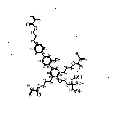 C=C(C)C(=O)OCCCc1ccc(-c2ccc(-c3cc(CCCOC(=O)C(=C)C)c(OCCC(CO)(CO)CCC)c(CCCOC(=O)C(=C)C)c3)c(CC)c2)cc1